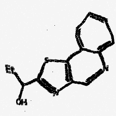 CCC(O)c1nc2cnc3ccccc3c2s1